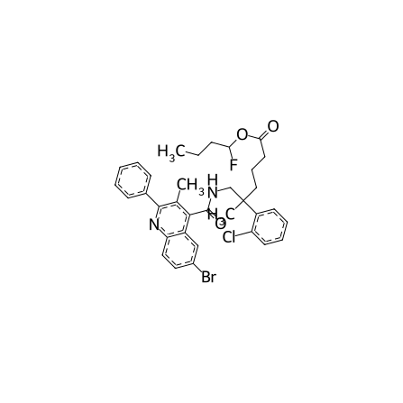 CCCC(F)OC(=O)CCCC(C)(CNC(=O)c1c(C)c(-c2ccccc2)nc2ccc(Br)cc12)c1ccccc1Cl